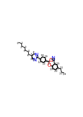 CCCCCCCc1cnc(-c2ccc(C(=O)Oc3ccc(CCC)cc3C#N)cc2)nc1